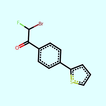 O=C(c1ccc(-c2cccs2)cc1)C(F)Br